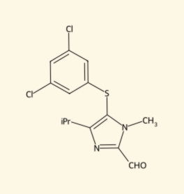 CC(C)c1nc(C=O)n(C)c1Sc1cc(Cl)cc(Cl)c1